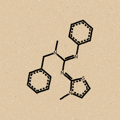 CN(Cc1ccccc1)C(=Nc1ccccc1)N=c1sccn1C